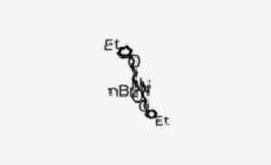 CCCCN(CCCOc1ccc(CC)cc1)CN(C)C(=O)COc1ccc(CC)cc1